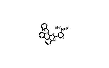 CCCN(CCC)c1cncc(-c2nc(NCc3ccccn3)c3c(-c4ccccc4)cccc3n2)c1